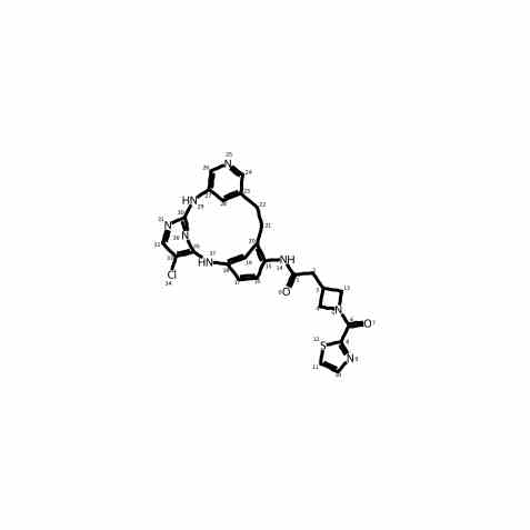 O=C(CC1CN(C(=O)c2nccs2)C1)Nc1ccc2cc1CCc1cncc(c1)Nc1ncc(Cl)c(n1)N2